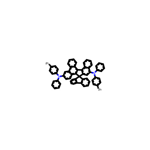 CC(C)c1ccc(N(c2ccccc2)c2ccc3c4c(c5ccccc5c3c2)-c2c(cc(N(c3ccccc3)c3ccc(C(C)C)cc3)c3ccccc23)C42c3ccccc3-c3ccccc32)cc1